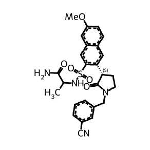 COc1ccc2cc([C@@H]3CCN(Cc4cccc(C#N)c4)C3=O)c(S(=O)(=O)NC(C)C(N)=O)cc2c1